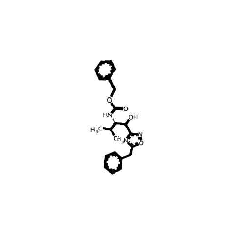 CC(C)[C@H](NC(=O)OCc1ccccc1)C(O)c1noc(Cc2ccccc2)n1